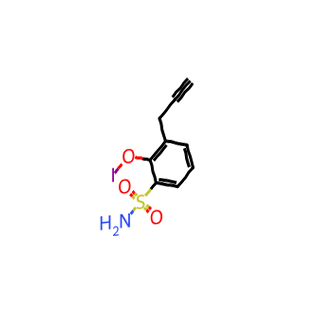 C#CCc1cccc(S(N)(=O)=O)c1OI